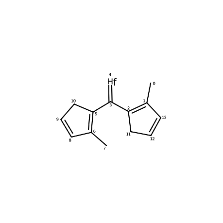 CC1=C([C](=[Hf])C2=C(C)C=CC2)CC=C1